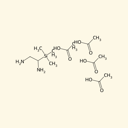 CC(=O)O.CC(=O)O.CC(=O)O.CC(=O)O.C[Si](C)(C)C(N)CN